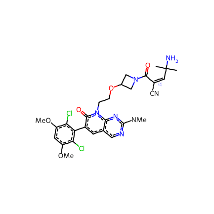 CNc1ncc2cc(-c3c(Cl)c(OC)cc(OC)c3Cl)c(=O)n(CCOC3CN(C(=O)/C(C#N)=C\C(C)(C)N)C3)c2n1